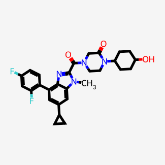 Cn1c(C(=O)N2CCN(C3CCC(O)CC3)C(=O)C2)nc2c(-c3ccc(F)cc3F)cc(C3CC3)cc21